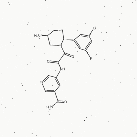 C[C@H]1CC[C@H](c2cc(F)cc(Cl)c2)N(C(=O)C(=O)Nc2cncc(C(N)=O)c2)C1